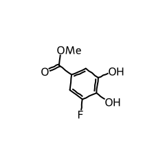 COC(=O)c1cc(O)c(O)c(F)c1